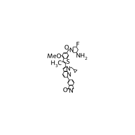 COc1cc(C(=O)N2C[C@H](N)C[C@@H](F)C2)cc2sc(-c3cc4ccc(-c5ccc6c(c5)C(=O)N=C6)nc4n3CC3CC3)c(C)c12